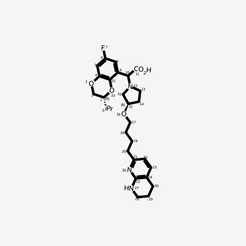 CC(C)[C@@H]1COc2cc(F)cc(C(C(=O)O)N3CC[C@@H](OCCCCc4ccc5c(n4)NCCC5)C3)c2O1